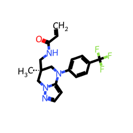 C=CC(=O)NC[C@@]1(C)CN(c2ccc(C(F)(F)F)cc2)c2ccnn2C1